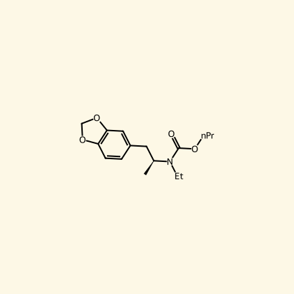 CCCOC(=O)N(CC)[C@@H](C)Cc1ccc2c(c1)OCO2